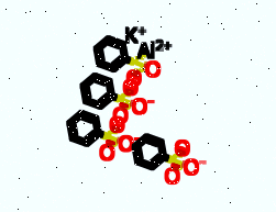 O=S(=O)([O-])c1ccccc1.O=S(=O)([O-])c1ccccc1.O=S(=O)([O-])c1ccccc1.O=[S](=O)([Al+2])c1ccccc1.[K+]